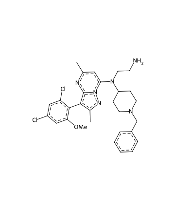 COc1cc(Cl)cc(Cl)c1-c1c(C)nn2c(N(CCN)C3CCN(Cc4ccccc4)CC3)cc(C)nc12